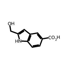 O=C(O)c1ccc2[nH]c(CO)cc2c1